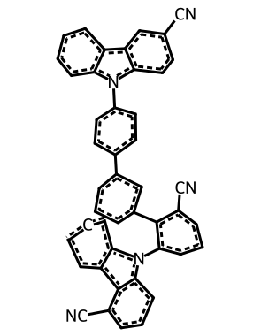 N#Cc1ccc2c(c1)c1ccccc1n2-c1ccc(-c2cccc(-c3c(C#N)cccc3-n3c4ccccc4c4c(C#N)cccc43)c2)cc1